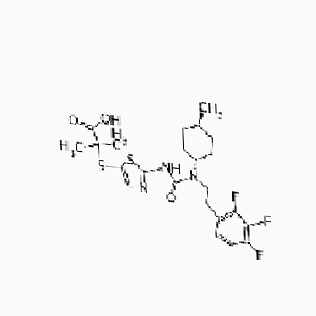 CC(C)(Sc1cnc(NC(=O)N(CCc2ccc(F)c(F)c2F)[C@H]2CC[C@H](C)CC2)s1)C(=O)O